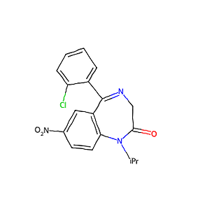 CC(C)N1C(=O)CN=C(c2ccccc2Cl)c2cc([N+](=O)[O-])ccc21